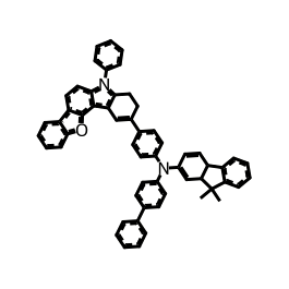 CC1(C)c2ccccc2C2C=CC(N(c3ccc(C4=Cc5c(n(-c6ccccc6)c6ccc7c8ccccc8oc7c56)CC4)cc3)c3ccc(-c4ccccc4)cc3)=CC21